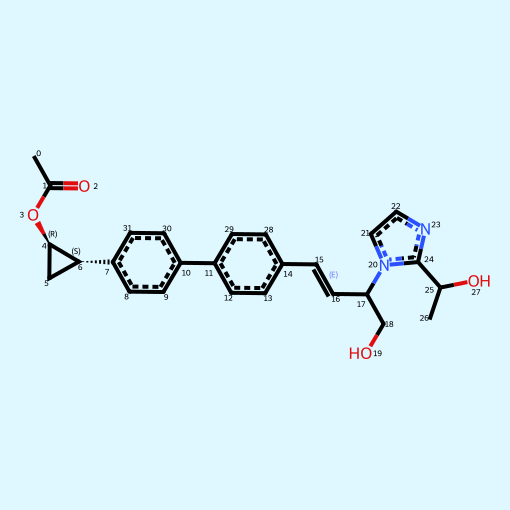 CC(=O)O[C@@H]1C[C@H]1c1ccc(-c2ccc(/C=C/C(CO)n3ccnc3C(C)O)cc2)cc1